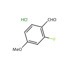 COc1ccc(C=O)c(F)c1.Cl